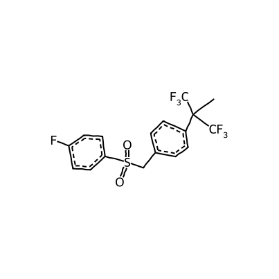 CC(c1ccc(CS(=O)(=O)c2ccc(F)cc2)cc1)(C(F)(F)F)C(F)(F)F